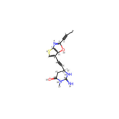 CC#Cc1nc2scc(C#C[C@]3(C)CC(=O)N(C)C(=N)N3)c2o1